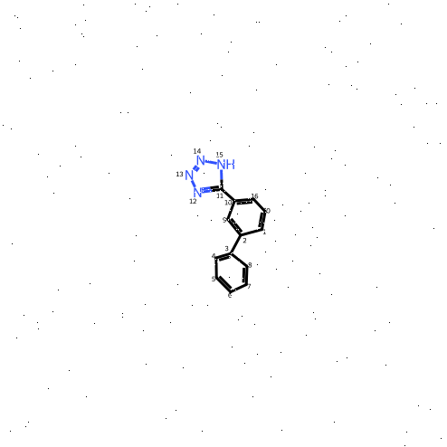 [c]1cc(-c2ccccc2)cc(-c2nnn[nH]2)c1